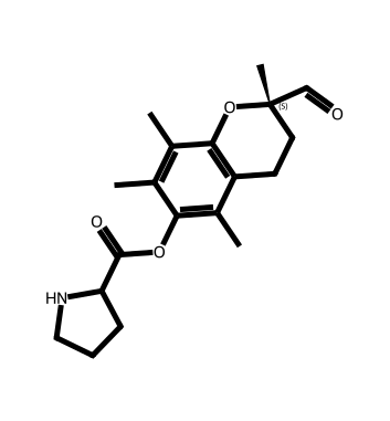 Cc1c(C)c2c(c(C)c1OC(=O)C1CCCN1)CC[C@@](C)(C=O)O2